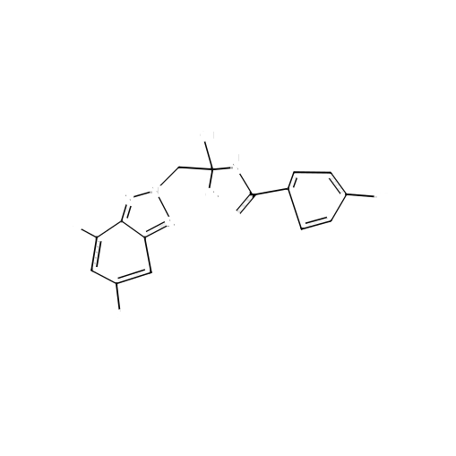 CC(C#N)(Cn1nc2cc(C(F)(F)F)cc(C(F)(F)F)c2n1)NC(=S)c1ccc(C(F)(F)F)cc1